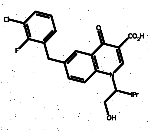 CC(C)C(CO)n1cc(C(=O)O)c(=O)c2cc(Cc3cccc(Cl)c3F)ccc21